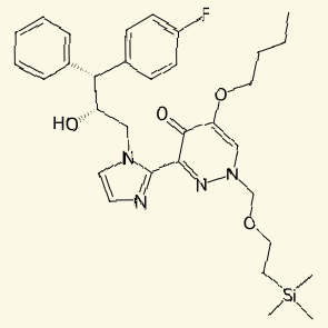 CCCCOc1cn(COCC[Si](C)(C)C)nc(-c2nccn2C[C@H](O)[C@H](c2ccccc2)c2ccc(F)cc2)c1=O